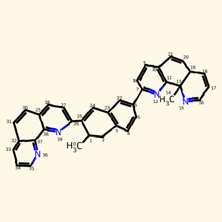 CC1Cc2ccc(-c3ccc4c(n3)C3(C)N=CC=CC3C=C4)cc2C=C1c1ccc2ccc3cccnc3c2n1